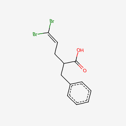 O=C(O)C(CC=C(Br)Br)Cc1ccccc1